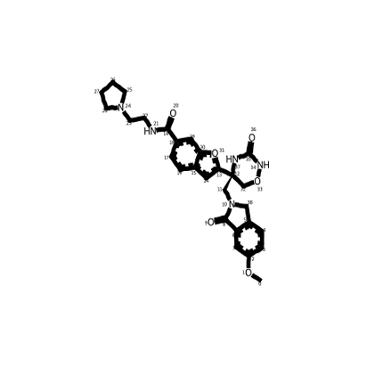 COc1ccc2c(c1)C(=O)N(C[C@]1(c3cc4ccc(C(=O)NCCN5CCCC5)cc4o3)CONC(=O)N1)C2